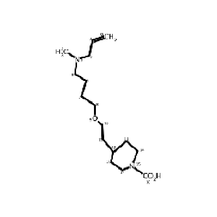 C=CCN(C)CCCCOCCC1CCN(C(=O)O)CC1